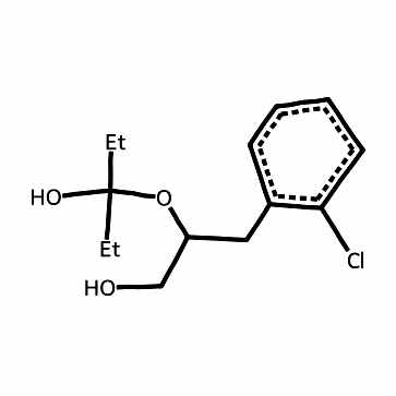 CCC(O)(CC)OC(CO)Cc1ccccc1Cl